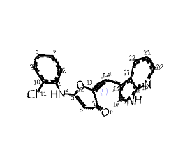 O=C1C=C(Nc2ccccc2Cl)O/C1=C/c1c[nH]c2ncccc12